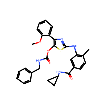 COc1ccccc1-c1nc(Nc2cc(C(=O)NC3CC3)ccc2C)sc1OC(=O)NCc1ccccc1